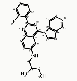 CCC(C)CNc1ccc2nc(-c3ccccc3F)nc(-n3ccc4cnccc43)c2c1